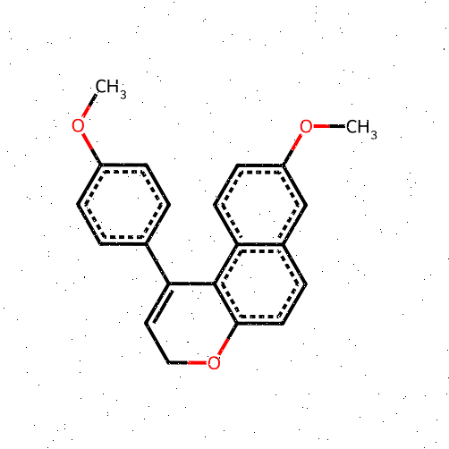 COc1ccc(C2=CCOc3ccc4cc(OC)ccc4c32)cc1